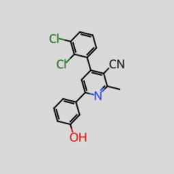 Cc1nc(-c2cccc(O)c2)cc(-c2cccc(Cl)c2Cl)c1C#N